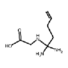 C=CCCC(N)(N)NCC(=O)O